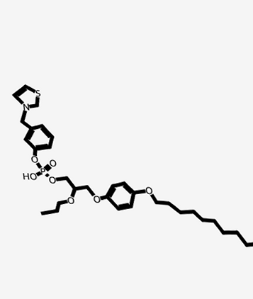 CCCCCCCCCCCCOc1ccc(OCC(COP(=O)(O)Oc2cccc(CN3C=CSC3)c2)OCCC)cc1